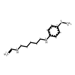 C=CNCCCCCNc1ccc(SC)cc1